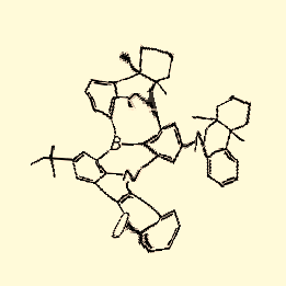 CC(C)(C)c1cc2c3c(c1)c1oc4ccccc4c1n3-c1cc(N3c4ccccc4C4(C)CCCCC34C)cc3c1B2c1cccc2c1N3C1(C)CCCCC21C